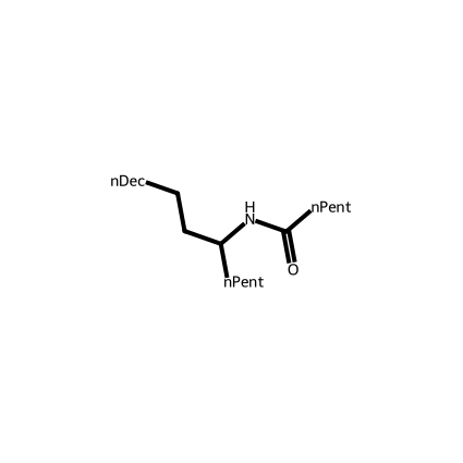 CCCCCCCCCCCCC(CCCCC)NC(=O)CCCCC